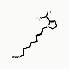 CCCCCCCCCCCCCCC=CCN1CCN=C1C(C)N